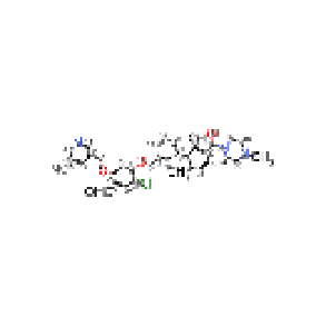 Cc1c(COc2cc(OCc3cncc(C#N)c3)c(C=O)cc2Cl)cccc1-c1cccc(C(=O)N2CCN(C)CC2)c1C